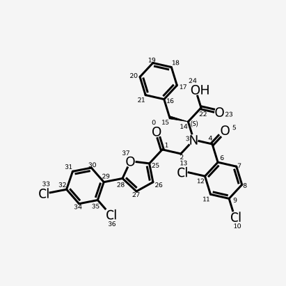 O=C(CN(C(=O)c1ccc(Cl)cc1Cl)[C@@H](Cc1ccccc1)C(=O)O)c1ccc(-c2ccc(Cl)cc2Cl)o1